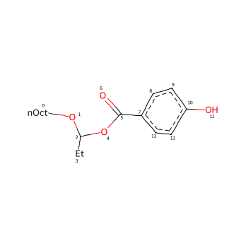 CCCCCCCCOC(CC)OC(=O)c1ccc(O)cc1